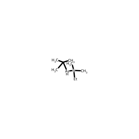 CC[Si](C)(C)[AsH]C(C)(C)C